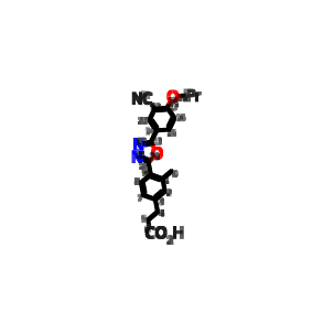 Cc1cc(CCC(=O)O)ccc1-c1nnc(-c2ccc(OC(C)C)c(C#N)c2)o1